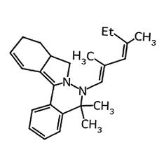 CC/C(C)=C\C(C)=C\N1N2CC3CCC=CC3=C2c2ccccc2C1(C)C